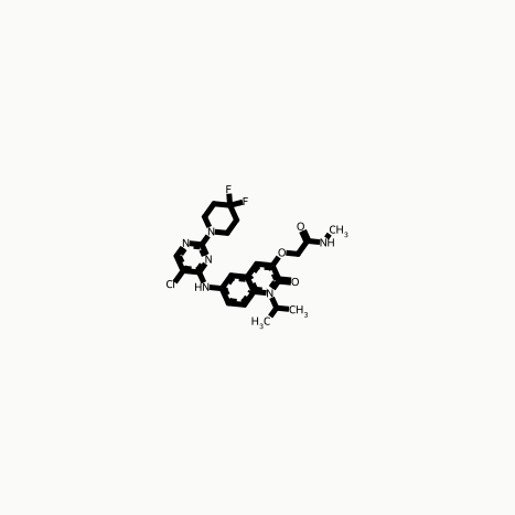 CNC(=O)COc1cc2cc(Nc3nc(N4CCC(F)(F)CC4)ncc3Cl)ccc2n(C(C)C)c1=O